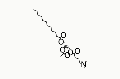 CCCCCCCCCCCC(=O)OC[C@H](COC(=O)CCCN(C)C)OC(C)=O